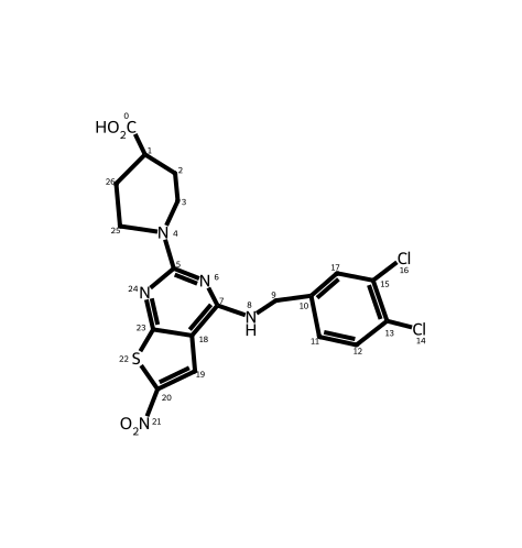 O=C(O)C1CCN(c2nc(NCc3ccc(Cl)c(Cl)c3)c3cc([N+](=O)[O-])sc3n2)CC1